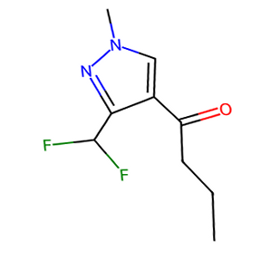 CCCC(=O)c1cn(C)nc1C(F)F